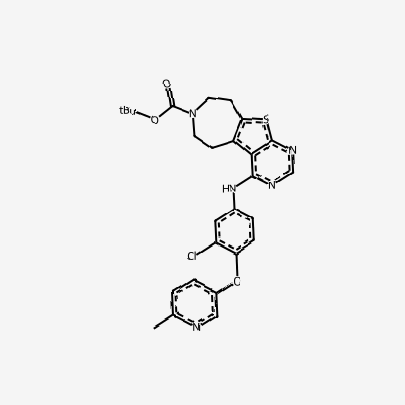 Cc1ccc(Oc2ccc(Nc3ncnc4sc5c(c34)CCN(C(=O)OC(C)(C)C)CC5)cc2Cl)cn1